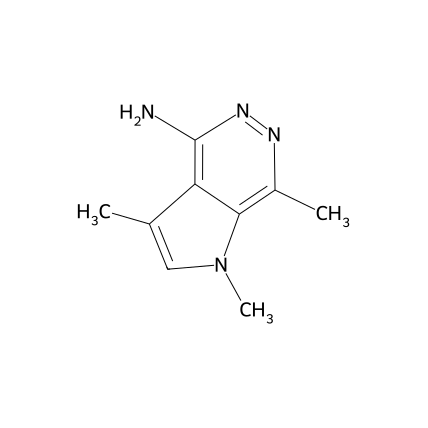 Cc1cn(C)c2c(C)nnc(N)c12